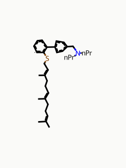 CCCN(CCC)Cc1ccc(-c2ccc[c]c2SC/C=C(\C)CC/C=C(\C)CCC=C(C)C)cc1